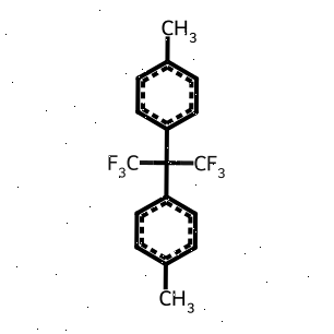 Cc1ccc(C(c2ccc(C)cc2)(C(F)(F)F)C(F)(F)F)cc1